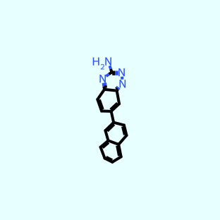 Nc1nnc2cc(-c3ccc4ccccc4c3)ccc2n1